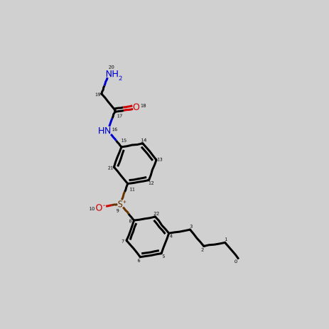 CCCCc1cccc([S+]([O-])c2cccc(NC(=O)CN)c2)c1